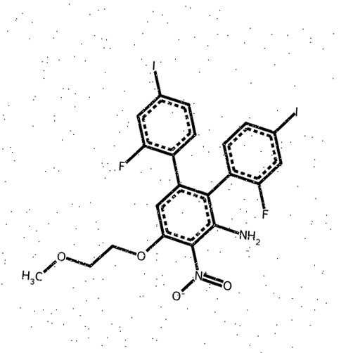 COCCOc1cc(-c2ccc(I)cc2F)c(-c2ccc(I)cc2F)c(N)c1[N+](=O)[O-]